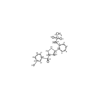 CS(=O)(=O)Nc1ccccc1C1=NN(C(=O)c2cccc(F)c2)CC1